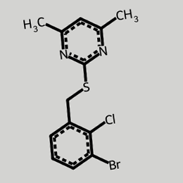 Cc1cc(C)nc(SCc2cccc(Br)c2Cl)n1